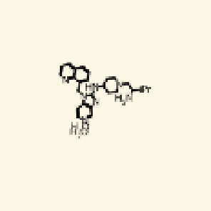 CC(C)C(N)CN1CCC(Nc2nc3cnccc3n2Cc2cccc3cccnc23)CC1.O.O